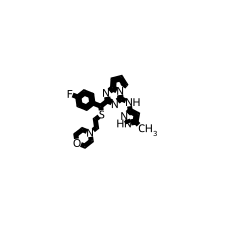 Cc1cc(Nc2nc(C(SCCN3CCOCC3)c3ccc(F)cc3)nc3cccn23)n[nH]1